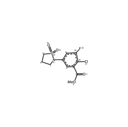 COC(=O)c1cc(N2CCCS2(=O)=O)cc(F)c1Cl